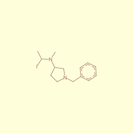 CC(I)N(C)C1CCN(Cc2ccccc2)C1